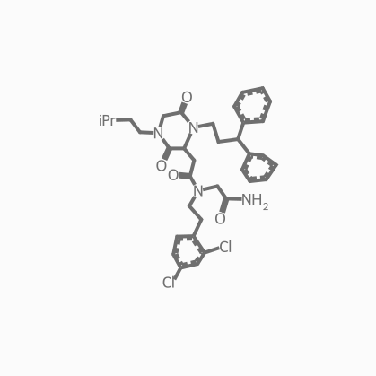 CC(C)CCN1CC(=O)N(CCC(c2ccccc2)c2ccccc2)C(CC(=O)N(CCc2ccc(Cl)cc2Cl)CC(N)=O)C1=O